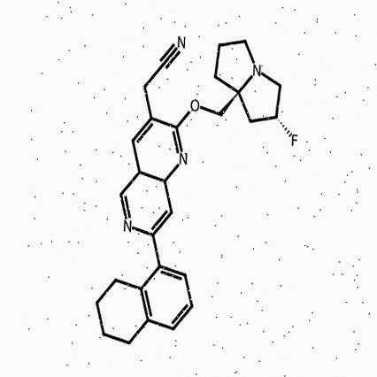 N#CCC1=CC2C=NC(c3cccc4c3CCCC4)=CC2N=C1OC[C@@]12CCCN1C[C@H](F)C2